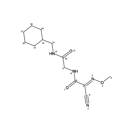 CON=C(C#N)C(=O)NCC(=O)NCC1CCCCC1